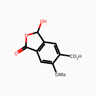 COc1cc2c(cc1C(=O)O)C(O)OC2=O